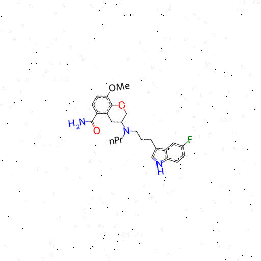 CCCN(CCCc1c[nH]c2ccc(F)cc12)C1COc2c(OC)ccc(C(N)=O)c2C1